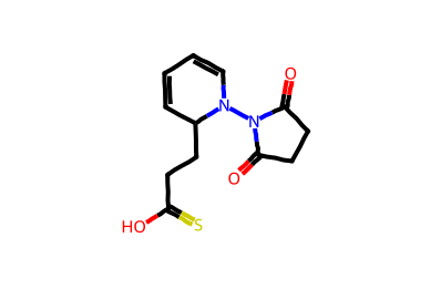 O=C1CCC(=O)N1N1C=CC=CC1CCC(O)=S